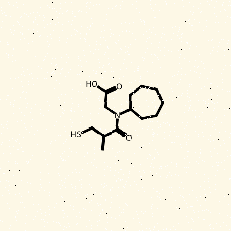 CC(CS)C(=O)N(CC(=O)O)C1CCCCCC1